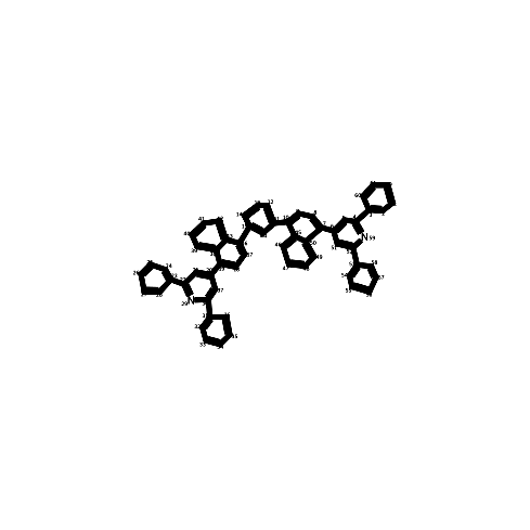 c1ccc(-c2cc(-c3ccc(-c4cccc(-c5ccc(-c6cc(-c7ccccc7)nc(-c7ccccc7)c6)c6ccccc56)c4)c4ccccc34)cc(-c3ccccc3)n2)cc1